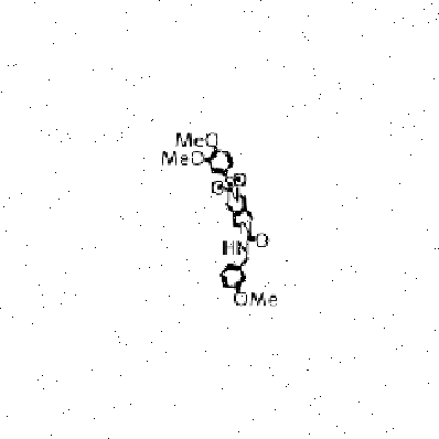 COc1cccc(CNC(=O)N2CC3=C(C2)CN(S(=O)(=O)c2ccc(OC)c(OC)c2)C3)c1